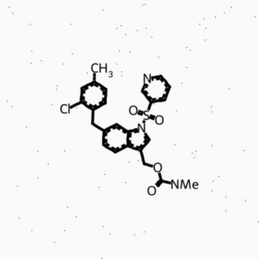 CNC(=O)OCc1cn(S(=O)(=O)c2cccnc2)c2cc(Cc3ccc(C)cc3Cl)ccc12